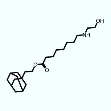 O=C(CCCCCCCNCCO)OCCC12CC3CC(CC(C3)C1)C2